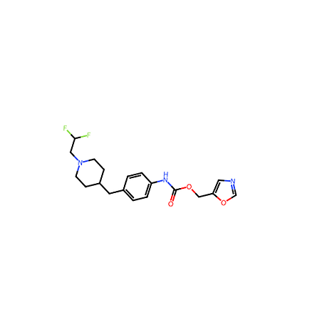 O=C(Nc1ccc(CC2CCN(CC(F)F)CC2)cc1)OCc1cnco1